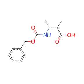 CC(C(=O)O)[C@@H](C)NC(=O)OCc1ccccc1